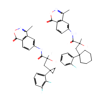 Cc1noc(=O)c2ccc(NC(=O)C(O)(CC3(c4cccc(F)c4F)CC3)C(F)(F)F)cc12.Cc1noc(=O)c2ccc(NC(=O)C(O)(CC3(c4ccccc4F)CCCCC3)C(F)(F)F)cc12